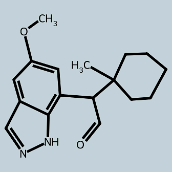 COc1cc(C(C=O)C2(C)CCCCC2)c2[nH]ncc2c1